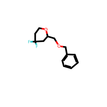 FC1(F)CCOC(COCc2ccccc2)C1